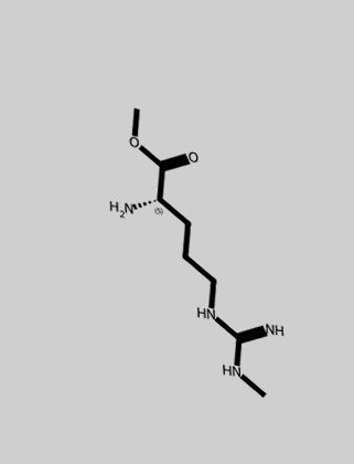 CNC(=N)NCCC[C@H](N)C(=O)OC